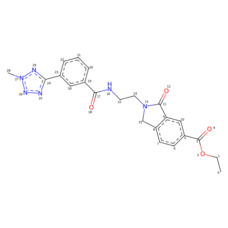 CCOC(=O)c1ccc2c(c1)C(=O)N(CCNC(=O)c1cccc(-c3nnn(C)n3)c1)C2